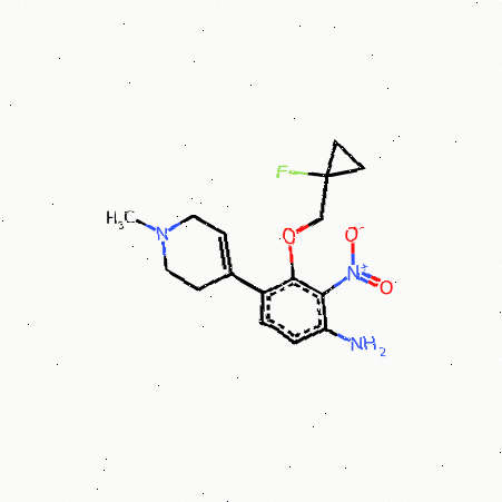 CN1CC=C(c2ccc(N)c([N+](=O)[O-])c2OCC2(F)CC2)CC1